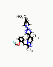 Cc1cc2nc(C)c(Cc3ccccc3OC(F)F)n2cc1-c1cnc(N2CC3C(C2)C3C(=O)O)nc1